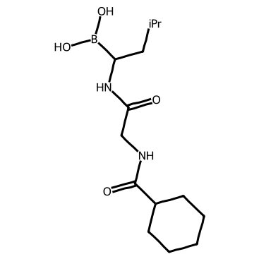 CC(C)CC(NC(=O)CNC(=O)C1CCCCC1)B(O)O